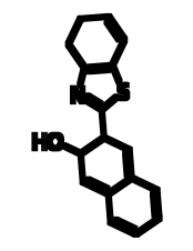 OC1C=c2ccccc2=CC1c1nc2c(s1)C=CCC2